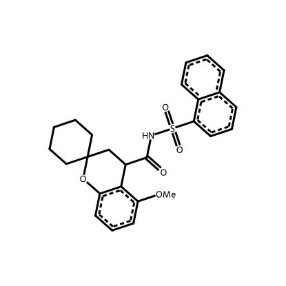 COc1cccc2c1C(C(=O)NS(=O)(=O)c1cccc3ccccc13)CC1(CCCCC1)O2